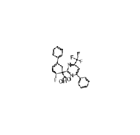 O=C(O)C1(c2nc(-c3ccccc3)cc(C(F)(F)F)n2)CC(c2ccccc2)=CC=C1F